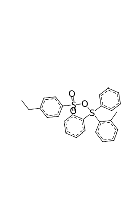 CCc1ccc(S(=O)(=O)OS(c2ccccc2)(c2ccccc2)c2ccccc2C)cc1